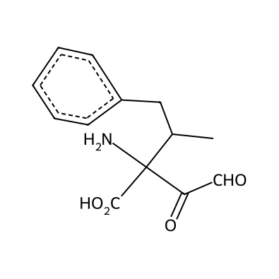 CC(Cc1ccccc1)C(N)(C(=O)O)C(=O)C=O